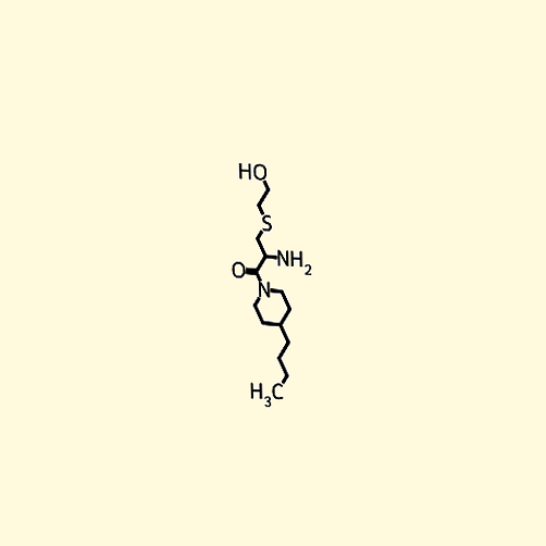 CCCCC1CCN(C(=O)C(N)CSCCO)CC1